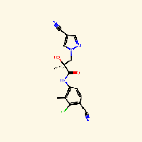 Cc1c(NC(=O)[C@@](C)(O)Cn2cc(C#N)cn2)ccc(C#N)c1Cl